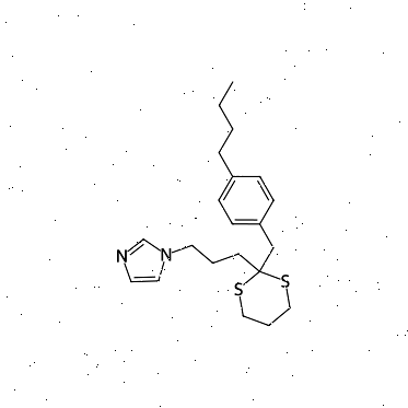 CCCCc1ccc(CC2(CCCn3ccnc3)SCCCS2)cc1